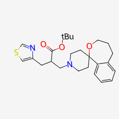 CC(C)(C)OC(=O)C(Cc1cscn1)CN1CCC2(CC1)OCCCc1ccccc12